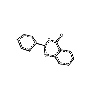 O=c1oc(-c2cc[c]cc2)nc2ccccc12